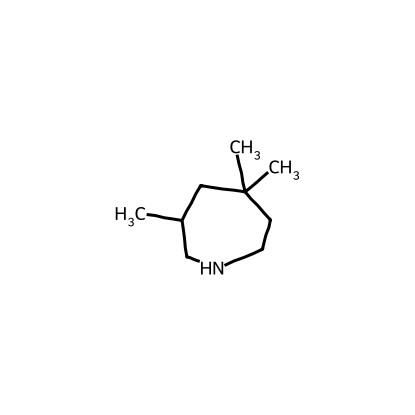 CC1CNCCC(C)(C)C1